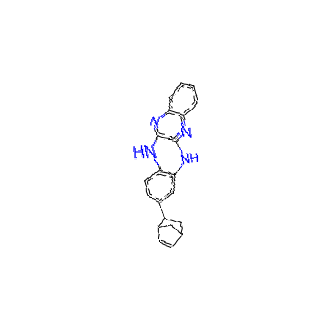 C1=CC2CC1CC2c1ccc2c(c1)Nc1nc3ccccc3nc1N2